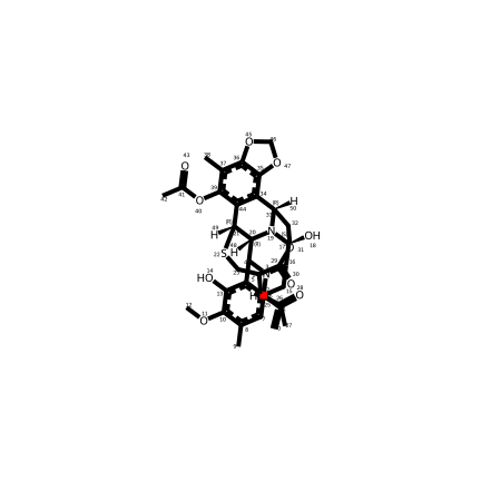 C=CCN1C2c3c(cc(C)c(OC)c3O)CC1[C@H](O)N1[C@H]2[C@@H]2SCC(NC(C)=O)C(=O)OC[C@H]1c1c3c(c(C)c(OC(C)=O)c12)OCO3